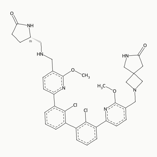 COc1nc(-c2cccc(-c3cccc(-c4ccc(CN5CC6(CNC(=O)C6)C5)c(OC)n4)c3Cl)c2Cl)ccc1CNC[C@@H]1CCC(=O)N1